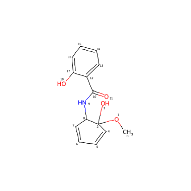 COC1(O)C=CC=CC1NC(=O)c1ccccc1O